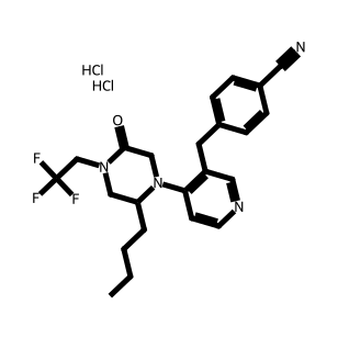 CCCCC1CN(CC(F)(F)F)C(=O)CN1c1ccncc1Cc1ccc(C#N)cc1.Cl.Cl